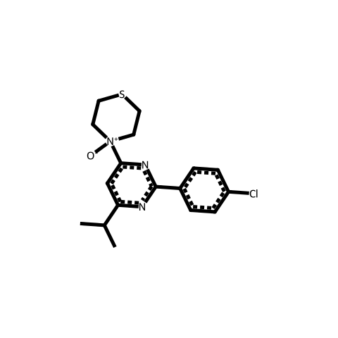 CC(C)c1cc([N+]2([O-])CCSCC2)nc(-c2ccc(Cl)cc2)n1